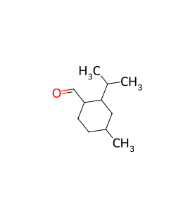 CC1CCC(C=O)C(C(C)C)C1